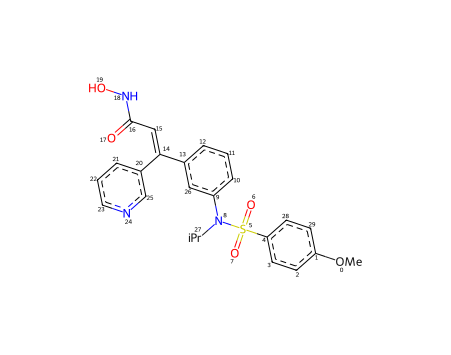 COc1ccc(S(=O)(=O)N(c2cccc(C(=CC(=O)NO)c3cccnc3)c2)C(C)C)cc1